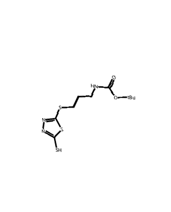 CC(C)(C)OC(=O)NCCCSc1nnc(S)s1